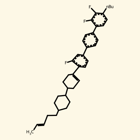 C/C=C/CCC1CCC(C2CC=C(c3ccc(-c4ccc(-c5ccc(CCCC)c(F)c5F)cc4)cc3F)CC2)CC1